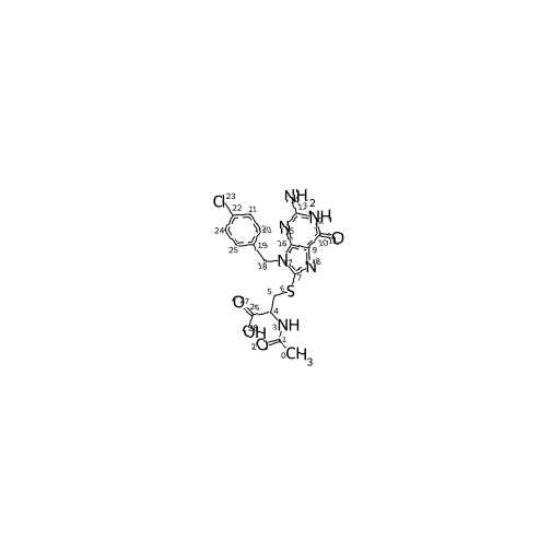 CC(=O)NC(CSc1nc2c(=O)[nH]c(N)nc2n1Cc1ccc(Cl)cc1)C(=O)O